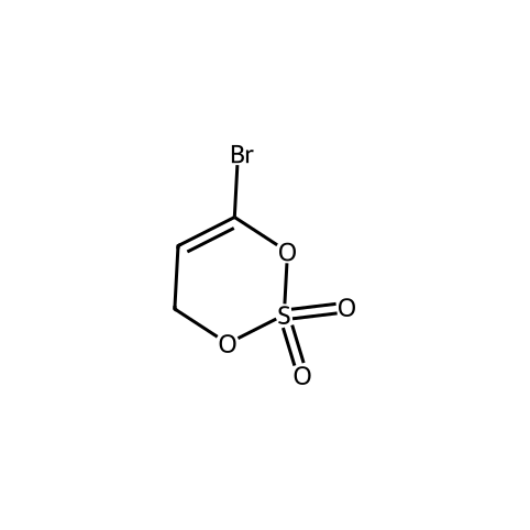 O=S1(=O)OCC=C(Br)O1